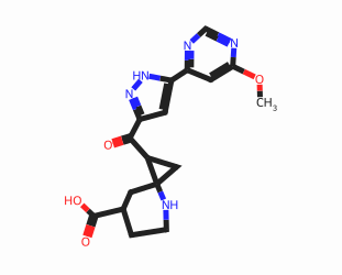 COc1cc(-c2cc(C(=O)C3CC34CC(C(=O)O)CCN4)n[nH]2)ncn1